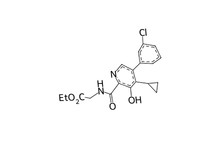 CCOC(=O)CNC(=O)c1ncc(-c2cccc(Cl)c2)c(C2CC2)c1O